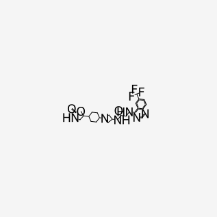 O=C(CNc1ncnc2ccc(C(F)(F)F)cc12)NC1CN(C2CCC(C3CNC(=O)O3)CC2)C1